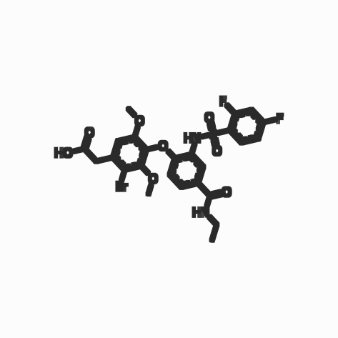 CCNC(=O)c1ccc(Oc2c(OC)cc(CC(=O)O)c(Br)c2OC)c(NS(=O)(=O)c2ccc(F)cc2F)c1